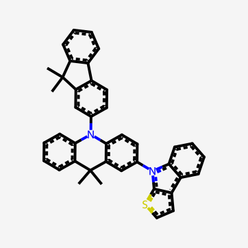 CC1(C)c2ccccc2-c2ccc(N3c4ccccc4C(C)(C)c4cc(-n5c6ccccc6c6ccsc65)ccc43)cc21